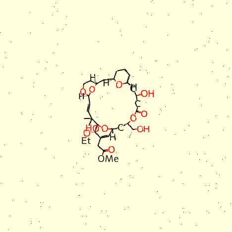 CCO[C@H]1C(CC(=O)OC)=C[C@H]2C[C@H]([C@@H](C)O)OC(=O)C[C@H](O)C[C@@H]3CCC[C@H](C[C@@H]4CCO[C@H](/C=C/C(C)(C)[C@]1(O)O2)O4)O3